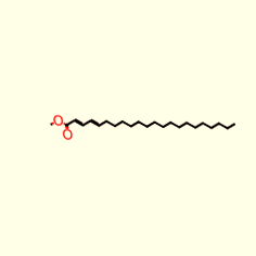 CCCCCCCCCCCCCCCCCC=CC=CC(=O)OC